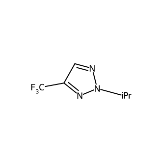 CC(C)n1ncc(C(F)(F)F)n1